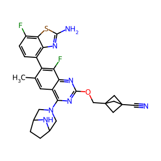 Cc1cc2c(N3CC4CCC(C3)N4)nc(OCC34CC(C#N)(C3)C4)nc2c(F)c1-c1ccc(F)c2sc(N)nc12